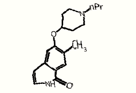 CCCN1CCC(Oc2cc3cc[nH]c(=O)c3cc2C)CC1